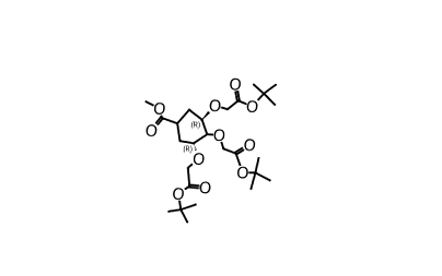 COC(=O)C1C[C@@H](OCC(=O)OC(C)(C)C)C(OCC(=O)OC(C)(C)C)[C@H](OCC(=O)OC(C)(C)C)C1